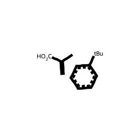 C=C(C)C(=O)O.CC(C)(C)c1ccccc1